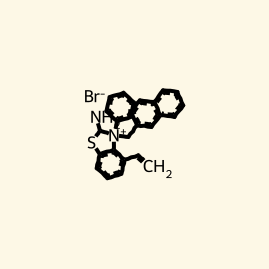 C=Cc1cccc2c1[N+](Cc1ccc3ccccc3c1)(c1ccccc1)C(N)S2.[Br-]